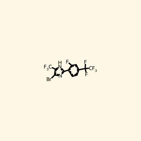 Fc1cc(C(F)(F)C(F)(F)F)ccc1-c1nc(Br)c(C(F)(F)F)[nH]1